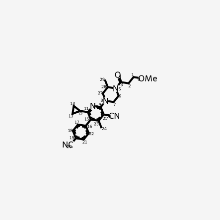 COCCC(=O)N1CCN(c2nc(C3CC3)c(-c3ccc(C#N)cc3)c(C)c2C#N)CC1C